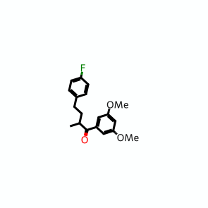 COc1cc(OC)cc(C(=O)C(C)CCc2ccc(F)cc2)c1